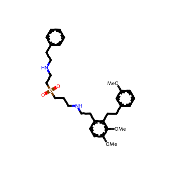 COc1cccc(CCc2c(CCNCCCS(=O)(=O)CCNCCc3ccccc3)ccc(OC)c2OC)c1